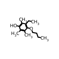 CCCCOc1c(C)c(C)c(O)c(C)c1CC